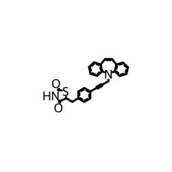 O=C1NC(=O)C(Cc2ccc(C#CCN3c4ccccc4C=Cc4ccccc43)cc2)S1